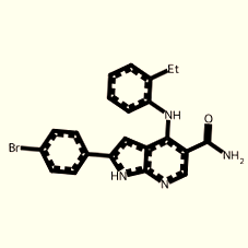 CCc1ccccc1Nc1c(C(N)=O)cnc2[nH]c(-c3ccc(Br)cc3)cc12